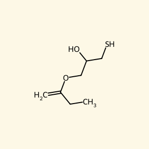 C=C(CC)OCC(O)CS